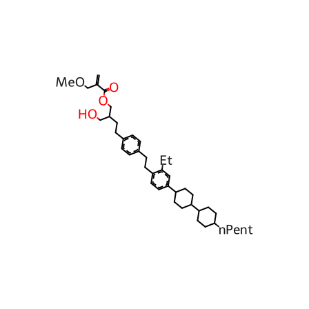 C=C(COC)C(=O)OCC(CO)CCc1ccc(CCc2ccc(C3CCC(C4CCC(CCCCC)CC4)CC3)cc2CC)cc1